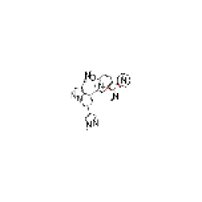 C=N/C(=C\C=C(/C)c1cc(-c2cnn(C)c2)cn2ncc(C#N)c12)N1CC2CC(C1)N2Cc1ccc(OC)nc1